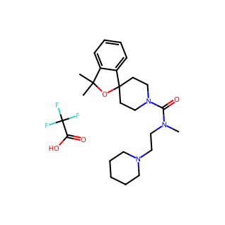 CN(CCN1CCCCC1)C(=O)N1CCC2(CC1)OC(C)(C)c1ccccc12.O=C(O)C(F)(F)F